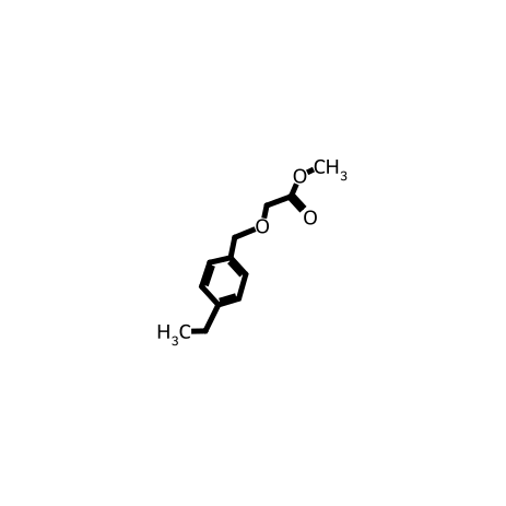 CCc1ccc(COCC(=O)OC)cc1